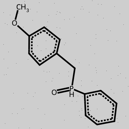 COc1ccc(C[PH](=O)c2ccccc2)cc1